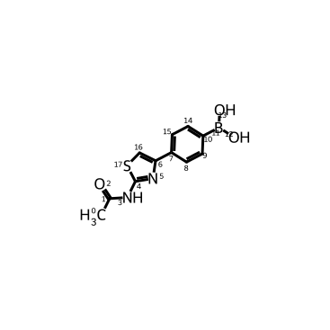 CC(=O)Nc1nc(-c2ccc(B(O)O)cc2)cs1